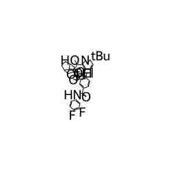 CC(C)(C)c1cccc(C(O)C(O)C2(O)C3CCC2CC(S(=O)(=O)c2cc(C(=O)Nc4ccc(F)c(F)c4)ccc2Cl)C3)n1